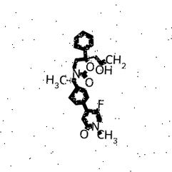 C=C(O)C[C@]1(c2ccccc2)CCN([C@@H](C)c2ccc(-c3cc(=O)n(C)cc3F)cc2)C(=O)O1